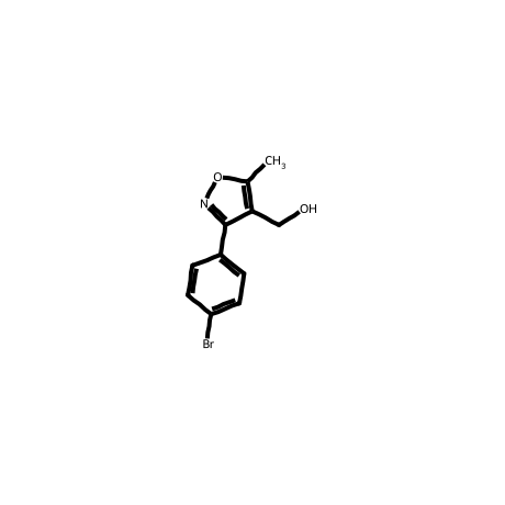 Cc1onc(-c2ccc(Br)cc2)c1CO